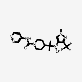 Cn1cc([S+]([O-])C(C)(C)C2CCN(C(=O)Nc3ccnnc3)CC2)c(C(F)(F)F)n1